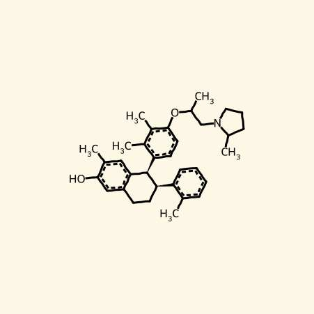 Cc1cc2c(cc1O)CC[C@H](c1ccccc1C)[C@@H]2c1ccc(OC(C)CN2CCCC2C)c(C)c1C